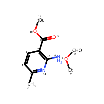 CCOC=O.Cc1ccc(C(=O)OC(C)(C)C)c(N)n1